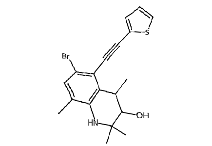 Cc1cc(Br)c(C#Cc2cccs2)c2c1NC(C)(C)C(O)C2C